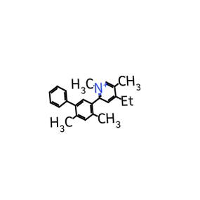 CCc1cc(-c2cc(-c3ccccc3)c(C)cc2C)[n+](C)cc1C